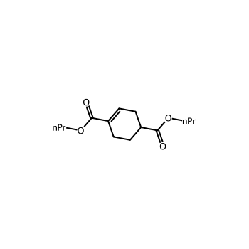 CCCOC(=O)C1=CCC(C(=O)OCCC)CC1